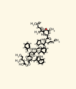 CC[C@H](C)[C@H](NC(=O)[C@H](Cc1c[nH]c2ccccc12)NC(=O)[C@H](Cc1ccccc1)NC(=O)[C@H](Cc1ccccc1)NC(=O)[C@@H]1CCCN1C(=O)[C@H](CCSC)NC(=O)[C@H](CC(C)C)NC(=O)[C@@H](N)CC[S+](C)[O-])C(=O)O